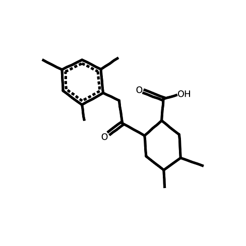 Cc1cc(C)c(CC(=O)C2CC(C)C(C)CC2C(=O)O)c(C)c1